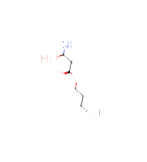 CCCCOC(=O)CC(N)O